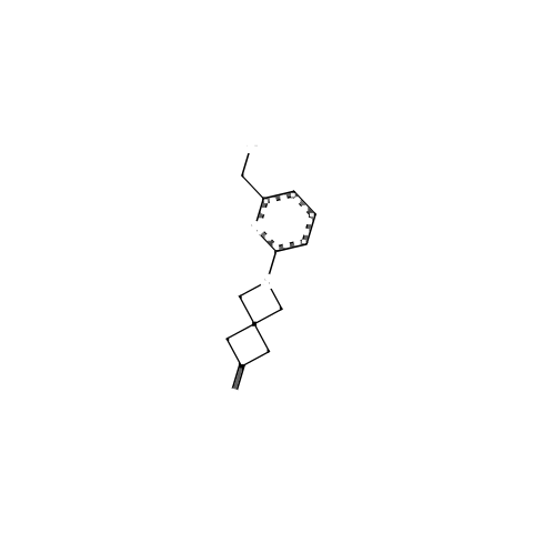 O=C1CC2(C1)CN(c1cccc(CO)n1)C2